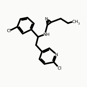 CCCC1N=C1NC(Cc1ccc(Cl)nc1)c1cccc(Cl)c1